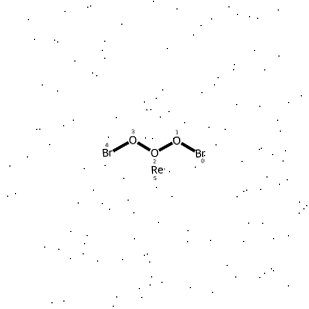 BrOOOBr.[Re]